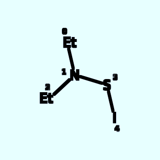 CCN(CC)SI